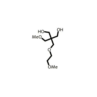 COCCOCC(CO)(CO)COC